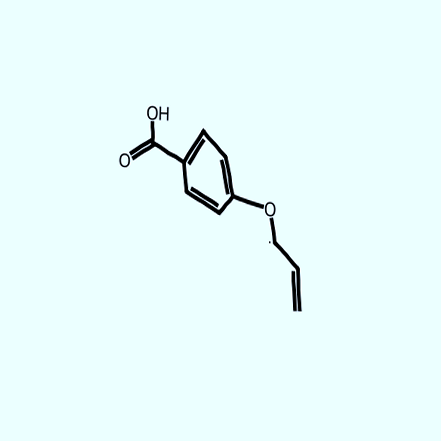 C=C[CH]Oc1ccc(C(=O)O)cc1